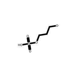 [O]CCCOS(=O)(=O)O